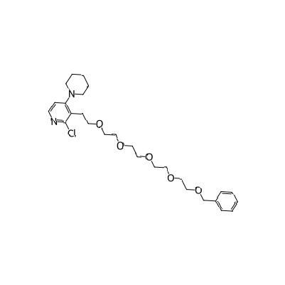 Clc1nccc(N2CCCCC2)c1CCOCCOCCOCCOCCOCc1ccccc1